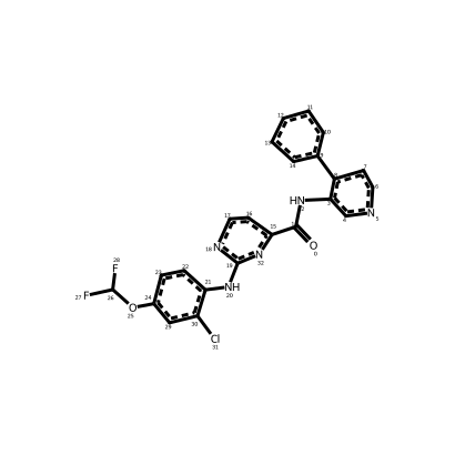 O=C(Nc1cnccc1-c1ccccc1)c1ccnc(Nc2ccc(OC(F)F)cc2Cl)n1